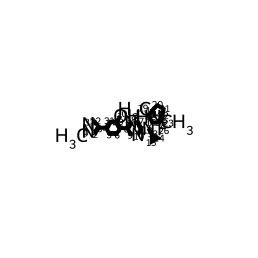 Cn1cc(-c2ccc(-c3cnc(N(C4CC4)[C@@H]4C[C@@]5(C)CC[C@](C)(N5)[C@@H]4F)cn3)c(O)c2)cn1